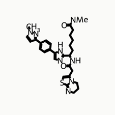 CNC(=O)CCCCCC(NC(=O)CC1=CSC2=NCCCN12)c1ncc(-c2ccc(-c3ccn(C)n3)cc2)[nH]1